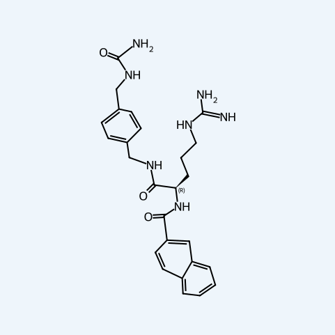 N=C(N)NCCC[C@@H](NC(=O)c1ccc2ccccc2c1)C(=O)NCc1ccc(CNC(N)=O)cc1